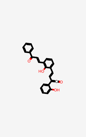 O=C=C(C=Cc1cccc(C=CC(=O)c2ccccc2)c1O)c1ccccc1O